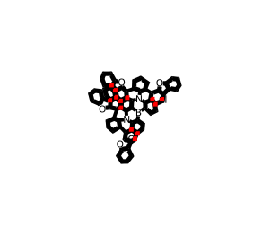 Clc1ccc2c(c1)N(c1c(-c3cccc4c3oc3ccccc34)cccc1-c1cccc3c1oc1ccccc13)c1cc(-c3ccccc3)cc3c1B2c1ccc(Cl)cc1N3c1c(-c2cccc3c2oc2ccccc23)cccc1-c1cccc2c1oc1ccccc12